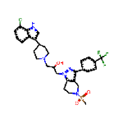 CS(=O)(=O)N1CCc2c(c(-c3ccc(C(F)(F)F)cc3)nn2CC(O)CN2CCC(c3c[nH]c4c(Cl)cccc34)CC2)C1